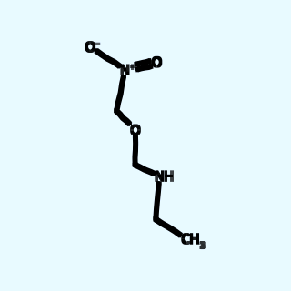 CCNCOC[N+](=O)[O-]